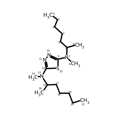 CCCCCC(C)N(C)c1nnc(N(C)C(C)CCCCC)s1